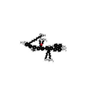 C=CCCCCC1(CCCCC=C)c2cc(-c3ccc4c(c3)C(CCCCCCCC)(CCCCCCCC)c3cc(-c5ccc6c(c5)C5(c7cc(C)ccc7-c7ccc(C)cc75)c5cc(C)ccc5-6)ccc3-4)ccc2-c2ccc(-c3ccc(-c4ccc5c(c4)C(CCCCCCCCCCC(=O)O)c4cc(C)ccc4-5)c4nsnc34)cc21